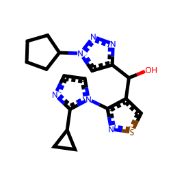 OC(c1cn(C2CCCC2)nn1)c1csnc1-n1ccnc1C1CC1